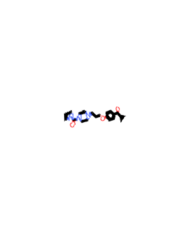 O=C(c1ccc(OCCCN2CCN(C(=O)N3CCC3)CC2)cc1)C1CC1